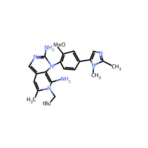 COc1cc(-c2cnc(C)n2C)ccc1N1C(N)=NC=C2C=C(C)N(CC(C)(C)C)C(N)=C21